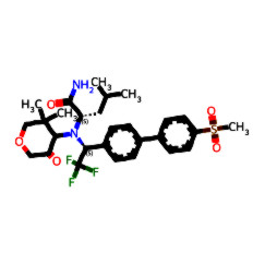 CC(C)C[C@@H](C(N)=O)N(C1C(=O)COCC1(C)C)[C@@H](c1ccc(-c2ccc(S(C)(=O)=O)cc2)cc1)C(F)(F)F